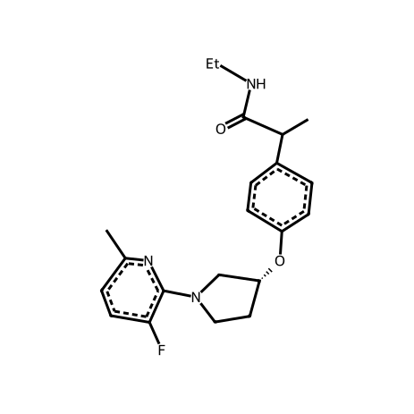 CCNC(=O)C(C)c1ccc(O[C@@H]2CCN(c3nc(C)ccc3F)C2)cc1